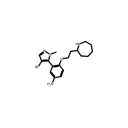 Cn1ncc(Br)c1-c1cc(N)ccc1OCCC1CCCCCN1